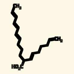 C=CCCCC=CC(CCCC=CC=CC=CC)C(=O)O